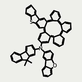 CC1(C)c2ccccc2-c2ccc(N(c3ccc4oc5ccccc5c4c3)c3ccc4c(c3)c3ccccc3c3ccccc3c3ccccc3c3cc5c(cc43)sc3ccccc35)cc21